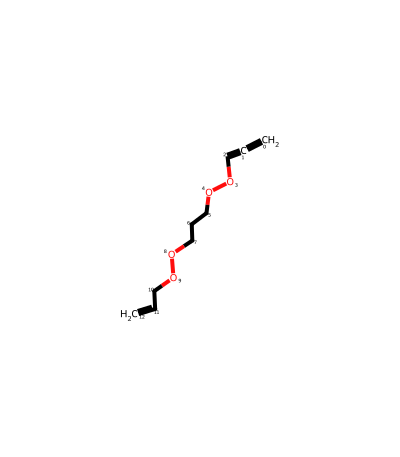 C=C=COOCCCOOCC=C